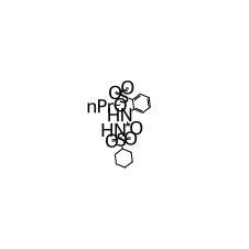 CCCOS(=O)(=O)c1ccccc1NC(=O)NS(=O)(=O)C1CCCCC1